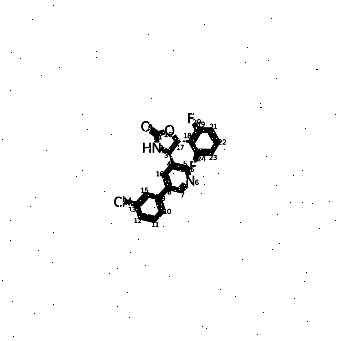 O=C1N[C@H](c2cncc(-c3cccc(Cl)c3)c2)[C@@H](c2c(F)cccc2F)O1